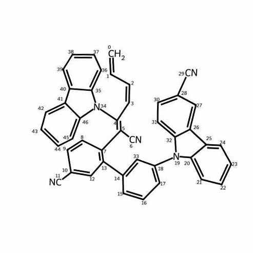 C=C/C=C\C(=C(/C#N)c1ccc(C#N)cc1-c1cccc(-n2c3ccccc3c3cc(C#N)ccc32)c1)n1c2ccccc2c2ccccc21